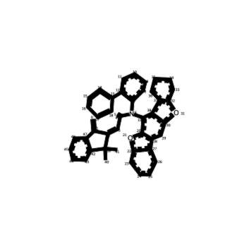 C=C1/C(=C\C(=C)N(c2ccccc2C2=C=C=CC=C2)c2c3oc4ccccc4c3cc3oc4ccccc4c23)C(C)(C)c2ccccc21